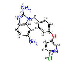 Nc1ccc2nc(N)n(Cc3ccc(Oc4ccc(Cl)nc4)cc3)c2c1